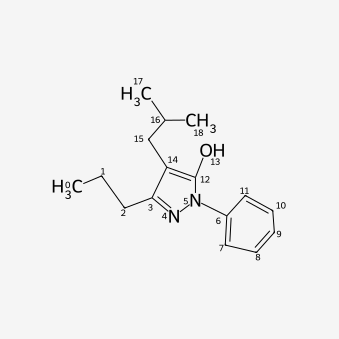 CCCc1nn(-c2ccccc2)c(O)c1CC(C)C